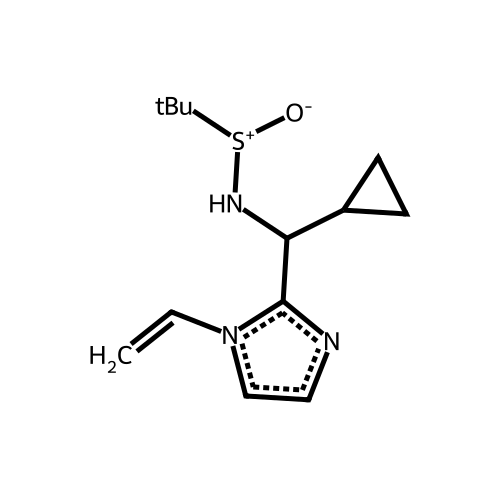 C=Cn1ccnc1C(N[S+]([O-])C(C)(C)C)C1CC1